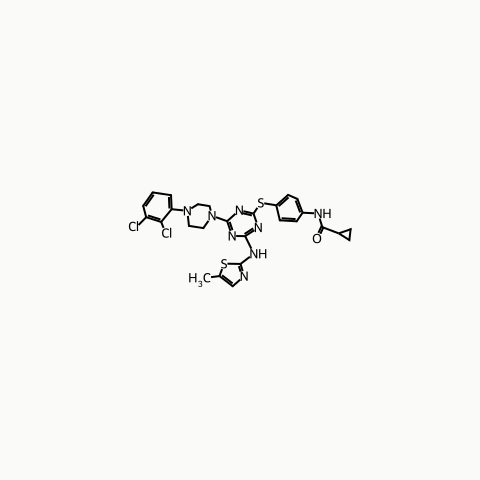 Cc1cnc(Nc2nc(Sc3ccc(NC(=O)C4CC4)cc3)nc(N3CCN(c4cccc(Cl)c4Cl)CC3)n2)s1